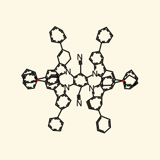 N#Cc1c(-n2c3c(c4cc(-c5ccccc5)ccc42)C=C(C2=CC=CCC2)CC3)c(-n2c3c#cc(C4=C=C=CC=C4)cc3c3cc(-c4ccccc4)ccc32)c(C#N)c(-n2c3c#cc(-c4ccccc4)cc3c3cc(-c4ccccc4)ccc32)c1-n1c2c(c3cc(-c4ccccc4)ccc31)C=C(c1ccccc1)CC2